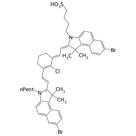 CCCCC[N+]1=C(/C=C/C2=C(Cl)C(=C/C=C3/N(CCCCS(=O)(=O)O)c4ccc5cc(Br)ccc5c4C3(C)C)/CCC2)C(C)(C)c2c1ccc1cc(Br)ccc21